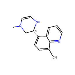 CN1C=CN[C@H](c2ccc(C#N)c3ncccc23)C1